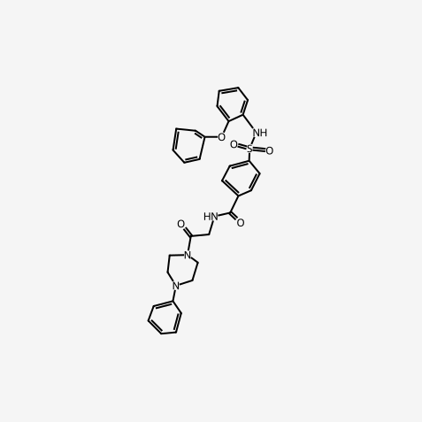 O=C(NCC(=O)N1CCN(c2ccccc2)CC1)c1ccc(S(=O)(=O)Nc2ccccc2Oc2ccccc2)cc1